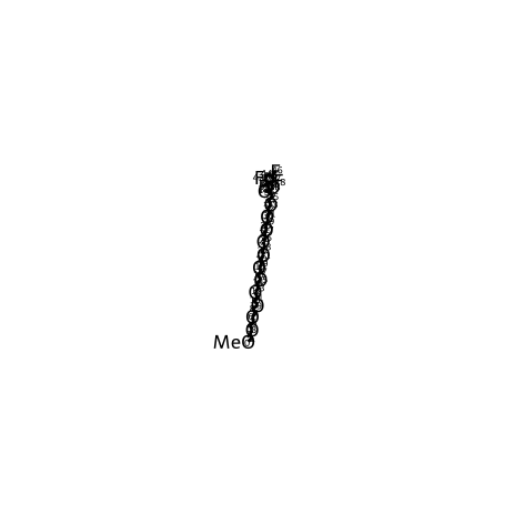 COCCOCCOCCOCCOCCOCCOCCOCCOCCOCCOCCOCCC(=O)Oc1c(F)c(F)cc(F)c1F